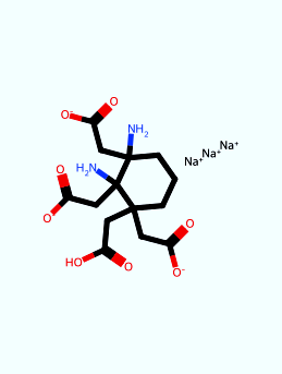 NC1(CC(=O)[O-])CCCC(CC(=O)[O-])(CC(=O)O)C1(N)CC(=O)[O-].[Na+].[Na+].[Na+]